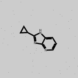 [c]1cnc2nc(C3CC3)[nH]c2c1